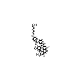 COc1cccc(Nc2c(C(N)=O)cnc3c(C)cc(S(=O)(=O)c4cccc(C(=O)N5CCC(OCCCCCCO)CC5)c4)cc23)c1